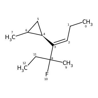 CC/C=C(\[C@@H]1CC1C)C(C)(F)CC